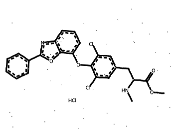 CNC(Cc1cc(Cl)c(Oc2cccc3nc(-c4ccccc4)oc23)c(Cl)c1)C(=O)OC.Cl